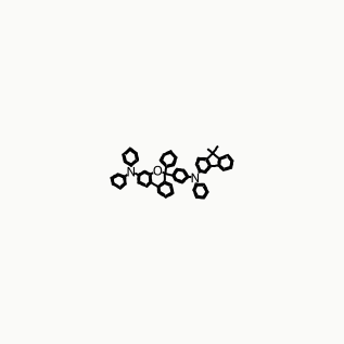 CC1(C)c2ccccc2-c2cc(N(c3ccccc3)c3ccc(C4(c5ccccc5)Oc5cc(N(c6ccccc6)c6ccccc6)ccc5-c5ccccc54)cc3)ccc21